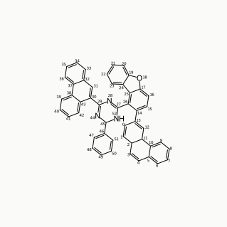 C1=CC2C=Cc3ccccc3C2C=C1c1ccc2oc3ccccc3c2c1C1=NC(c2cc3ccccc3c3ccccc23)=NC(c2ccccc2)N1